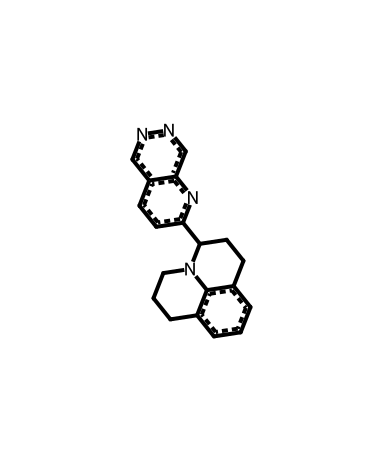 c1cc2c3c(c1)CCC(c1ccc4cnncc4n1)N3CCC2